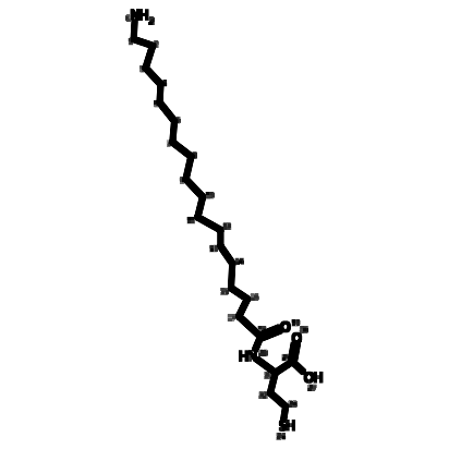 NCCCCCCCCCCCCCCCCCC(=O)NC(CCS)C(=O)O